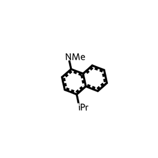 CNc1ccc(C(C)C)c2ccccc12